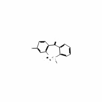 CN1c2ccccc2C(=O)c2ccc(I)cc2S1(=O)=O